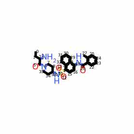 CCC(N)C(=O)N1CCC(NS(=O)(=O)c2ccc(NC(=O)c3ccccc3C)c3ccccc23)CC1